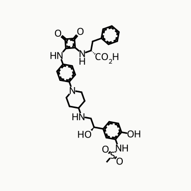 CS(=O)(=O)Nc1cc([C@@H](O)CNC2CCN(c3ccc(Nc4c(N[C@H](Cc5ccccc5)C(=O)O)c(=O)c4=O)cc3)CC2)ccc1O